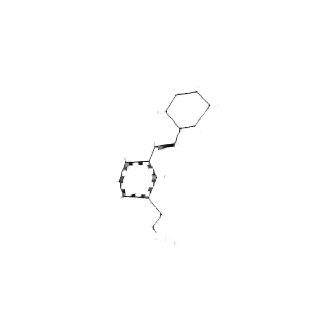 C[CH]Cc1cccc(C=CC2CCCCC2)c1